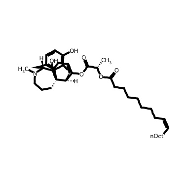 CCCCCCCC/C=C\CCCCCCCC(=O)O[C@@H](C)C(=O)OC1=CC[C@@]2(O)[C@H]3Cc4ccc(O)c5c4[C@@]2(CCCN3C)[C@H]1O5